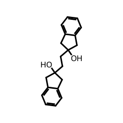 OC1(CCC2(O)Cc3ccccc3C2)Cc2ccccc2C1